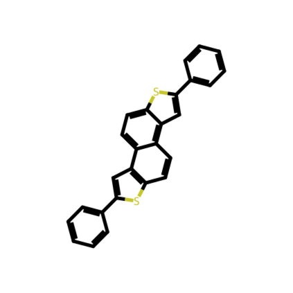 c1ccc(-c2cc3c(ccc4c5cc(-c6ccccc6)sc5ccc34)s2)cc1